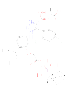 CC(=O)O.CCC(C)c1ccccc1OCC(=O)O.O=C(O)c1nn[nH]c1-c1ccc(Cl)cc1Cl.O=P(O)(O)C12CC3CC(CC(C3)C1)C2